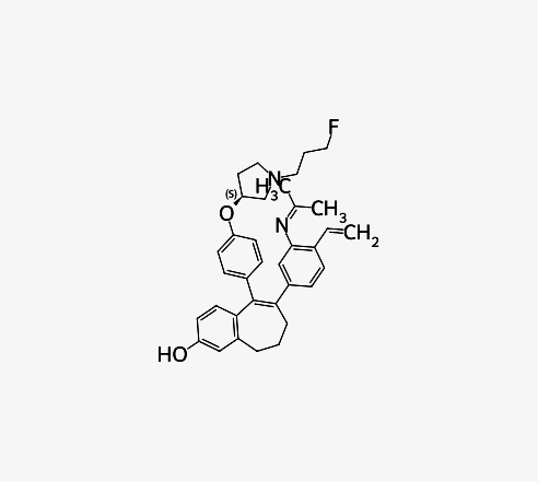 C=Cc1ccc(C2=C(c3ccc(O[C@H]4CCN(CCCF)C4)cc3)c3ccc(O)cc3CCC2)cc1N=C(C)C